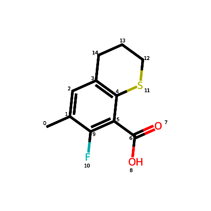 Cc1cc2c(c(C(=O)O)c1F)SCCC2